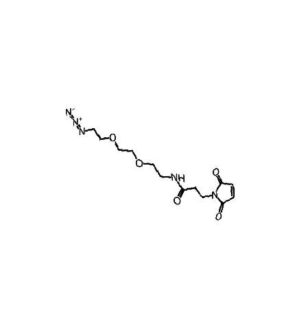 [N-]=[N+]=NCCOCCOCCNC(=O)CCN1C(=O)C=CC1=O